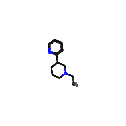 FC(F)(F)CN1CCCC(c2ccccn2)C1